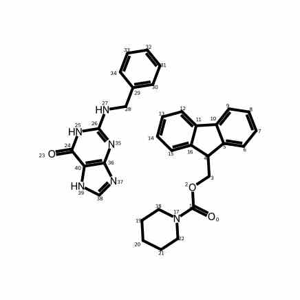 O=C(OCC1c2ccccc2-c2ccccc21)N1CCCCC1.O=c1[nH]c(NCc2ccccc2)nc2nc[nH]c12